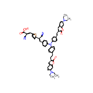 CCN(CC)c1ccc2cc(/C=C/c3ccc(N(c4ccc(/C=C/c5cc6ccc(N(CC)CC)cc6oc5=O)cc4)c4ccc(/C=C(\C#N)c5ccc(/C=C(\C#N)C(=O)O)s5)cc4)cc3)c(=O)oc2c1